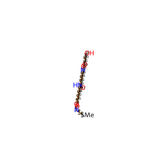 CSCSC/N=C\OOCSCSCSCSC(=O)NCSCSCSC/N=C/OOCCSCCO